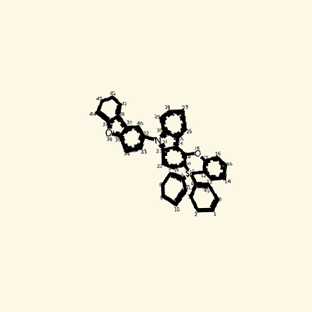 C1=CCCC([Si]2(C3=CCCC=C3)c3ccccc3Oc3c2ccc2c3c3ccccc3n2-c2ccc3oc4c(c3c2)=CCCC=4)=C1